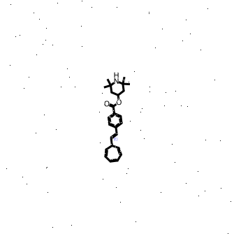 CC1(C)CC(OC(=O)c2ccc(/C=C/C3C=CC=CC=C3)cc2)CC(C)(C)N1